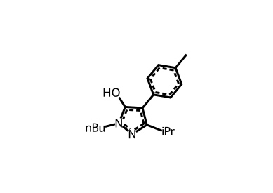 CCCCn1nc(C(C)C)c(-c2ccc(C)cc2)c1O